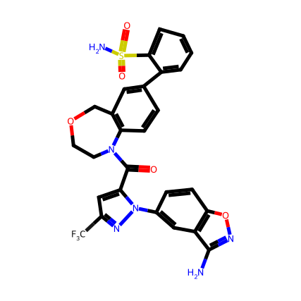 Nc1noc2ccc(-n3nc(C(F)(F)F)cc3C(=O)N3CCOCc4cc(-c5ccccc5S(N)(=O)=O)ccc43)cc12